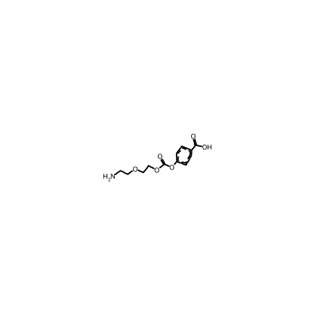 NCCOCCOC(=O)Oc1ccc(C(=O)O)cc1